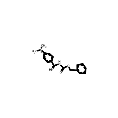 C[SH](C)c1ccc(C(=N)NC(=O)OCc2ccccc2)cc1